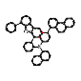 c1ccc(-c2cccc3c2oc2c(-c4ccccc4N(c4ccc(-c5cccc6c5ccc5ccccc56)cc4)c4cccc5ccccc45)cccc23)cc1